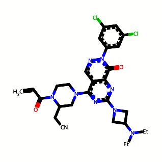 C=CC(=O)N1CCN(c2nc(N3CC(N(CC)CC)C3)nc3c(=O)n(-c4cc(Cl)cc(Cl)c4)ncc23)CC1CC#N